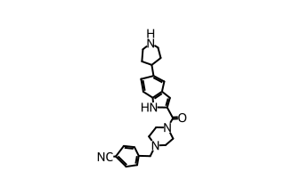 N#Cc1ccc(CN2CCN(C(=O)c3cc4cc(C5CCNCC5)ccc4[nH]3)CC2)cc1